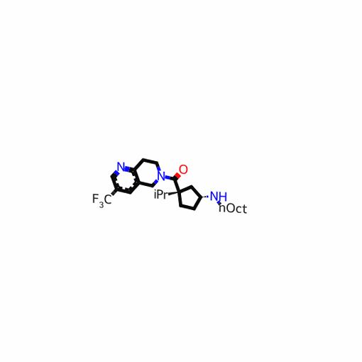 CCCCCCCCN[C@@H]1CC[C@@](C(=O)N2CCc3ncc(C(F)(F)F)cc3C2)(C(C)C)C1